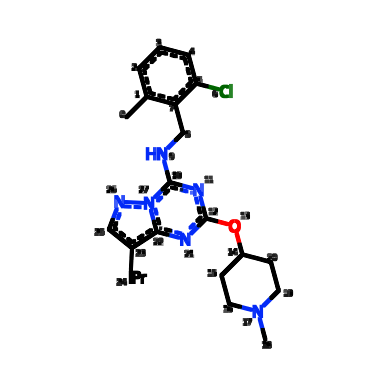 Cc1cccc(Cl)c1CNc1nc(OC2CCN(C)CC2)nc2c(C(C)C)cnn12